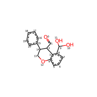 O=CC1c2c(cccc2C(O)O)OCC1c1ccccc1